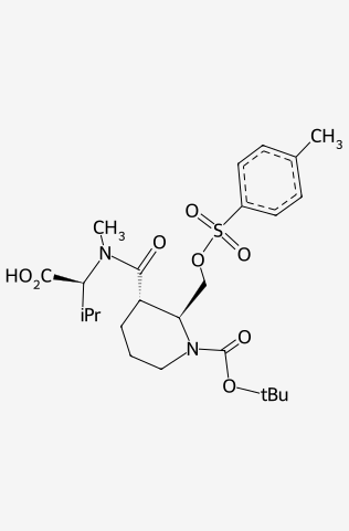 Cc1ccc(S(=O)(=O)OC[C@@H]2[C@@H](C(=O)N(C)[C@H](C(=O)O)C(C)C)CCCN2C(=O)OC(C)(C)C)cc1